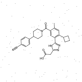 Cc1cc(C2CCC2)c(-c2nnc(CC(=O)O)[nH]2)cc1C(=O)N1CCC(c2ccc(C#N)cc2)CC1